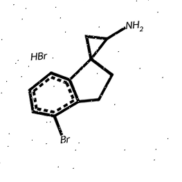 Br.NC1CC12CCc1c(Br)cccc12